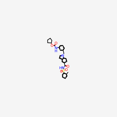 Cc1ccccc1S(=O)(=O)NC(=O)c1ccc2c(ccn2Cc2cccc(NC(=O)OC3CCCC3)c2)c1